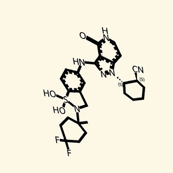 CC1(N2Cc3cc(Nc4nn([C@H]5CCCC[C@@H]5C#N)c5cc[nH]c(=O)c45)ccc3S2(O)O)CCC(F)(F)CC1